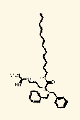 CCCCCCCCCCCCNC(=O)[C@H](CCCNC(=N)N)N(Cc1ccccc1)Cc1ccccc1